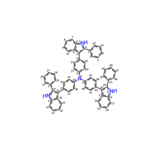 c1ccc(-c2[nH]c3ccccc3c2-c2ccc(N(c3ccc(-c4c(-c5ccccc5)[nH]c5ccccc45)cc3)c3ccc(-c4c(-c5ccccc5)[nH]c5ccccc45)cc3)cc2)cc1